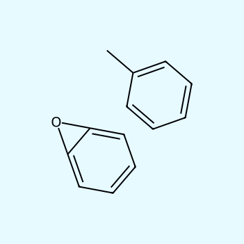 Cc1ccccc1.c1ccc2c(c1)O2